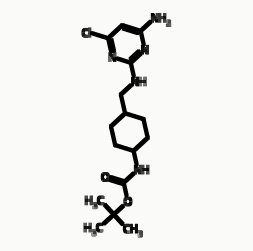 CC(C)(C)OC(=O)NC1CCC(CNc2nc(N)cc(Cl)n2)CC1